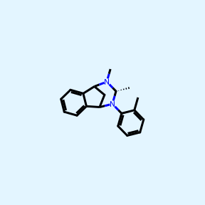 Cc1ccccc1N1C2CC(c3ccccc32)N(C)[C@@H]1C